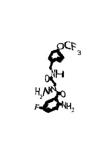 Nc1ccc(F)cc1C(=O)N(N)CC(=O)NCc1ccc(OC(F)(F)F)cc1